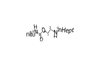 CCCCCCCNCCOC(=O)NCCCC